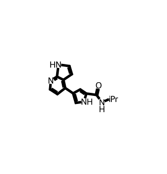 CC(C)NC(=O)c1cc(-c2ccnc3[nH]ccc23)c[nH]1